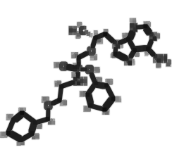 C[C@H](Cn1cnc2c(N)ncnc21)OCP(=O)(NCCOCc1ccccc1)Oc1ccccc1